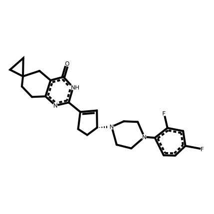 O=c1[nH]c(C2=C[C@H](N3CCN(c4ccc(F)cc4F)CC3)CC2)nc2c1CC1(CC2)CC1